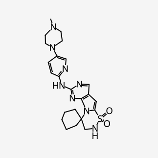 CN1CCN(c2ccc(Nc3ncc4cc5n(c4n3)C3(CCCCC3)CNS5(=O)=O)nc2)CC1